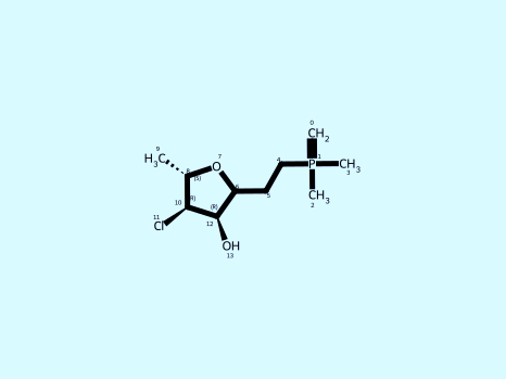 C=P(C)(C)CCC1O[C@@H](C)[C@H](Cl)[C@@H]1O